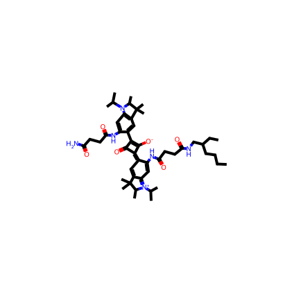 CCCCC(CC)CNC(=O)CCC(=O)Nc1cc2c(c/c1=C1\C(=O)C(c3cc4c(cc3NC(=O)CCC(N)=O)N(C(C)C)C(C)C4(C)C)=C1[O-])C(C)(C)C(C)[N+]=2C(C)C